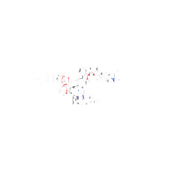 CNc1nc2cc(OCCCN3CCCC3)c(OC)cc2c2c1COC2OC=O